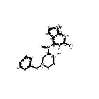 C[C@@H]1CCN(Cc2ccccc2)CC1N(C)c1nc(Cl)nc2[nH]ccc12